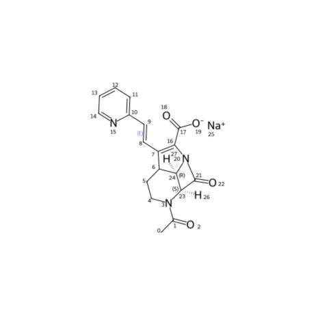 CC(=O)N1CCC2C(/C=C/c3ccccn3)=C(C(=O)[O-])N3C(=O)[C@@H]1[C@@H]23.[Na+]